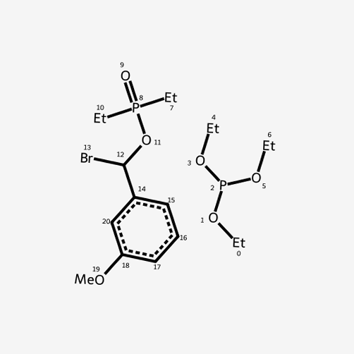 CCOP(OCC)OCC.CCP(=O)(CC)OC(Br)c1cccc(OC)c1